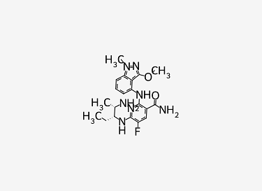 CC[C@@H](Nc1nc(Nc2cccc3c2c(OC)nn3C)c(C(N)=O)cc1F)[C@H](C)N